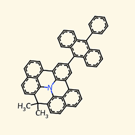 CC1(C)c2ccc3cccc4c3c2N2c3c-4cc(-c4c5ccccc5c(-c5ccccc5)c5ccccc45)cc3-c3cccc4ccc1c2c34